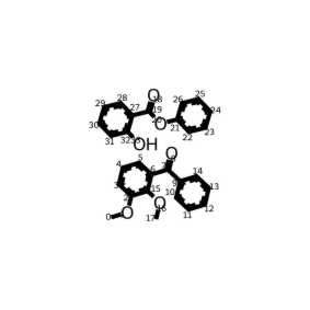 COc1cccc(C(=O)c2ccccc2)c1OC.O=C(Oc1ccccc1)c1ccccc1O